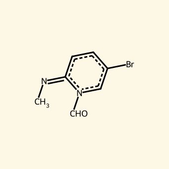 C/N=c1/ccc(Br)cn1C=O